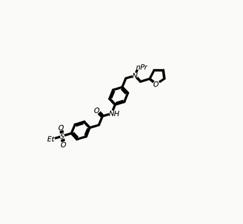 CCCN(Cc1ccc(NC(=O)Cc2ccc(S(=O)(=O)CC)cc2)cc1)CC1CCCO1